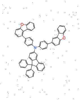 c1ccc(C2(c3ccccc3)c3ccccc3-c3cc(N(c4ccc(-c5ccc6oc7ccccc7c6c5)cc4)c4ccc(-c5cccc6oc7ccccc7c56)cc4)ccc32)cc1